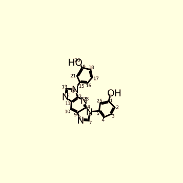 Oc1cccc(-n2cnc3cc4ncn(-c5cccc(O)c5)c4nc32)c1